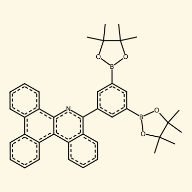 CC1(C)OB(c2cc(B3OC(C)(C)C(C)(C)O3)cc(-c3nc4c5ccccc5c5ccccc5c4c4ccccc34)c2)OC1(C)C